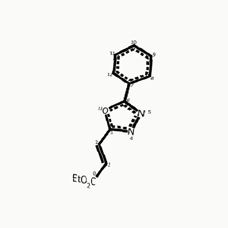 CCOC(=O)/C=C/c1nnc(-c2ccccc2)o1